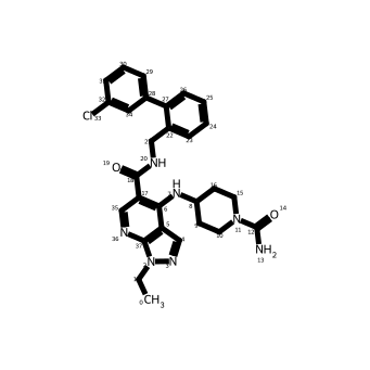 CCn1ncc2c(NC3CCN(C(N)=O)CC3)c(C(=O)NCc3ccccc3-c3cccc(Cl)c3)cnc21